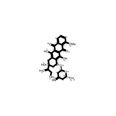 C=C(CO)[C@@]1(O)Cc2c(O)c3c(c(O)c2[C@H](O[C@@H]2CC(=N)C[C@@H](C)O2)C1)C(=O)c1c(OC)cccc1C3=O